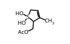 CC(=O)OCC1C(C)=CCS1(O)O